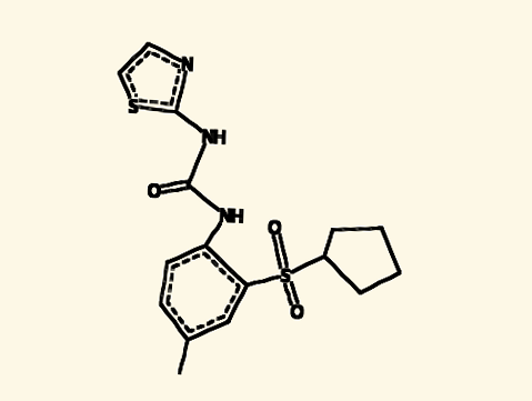 Cc1ccc(NC(=O)Nc2nccs2)c(S(=O)(=O)C2CCCC2)c1